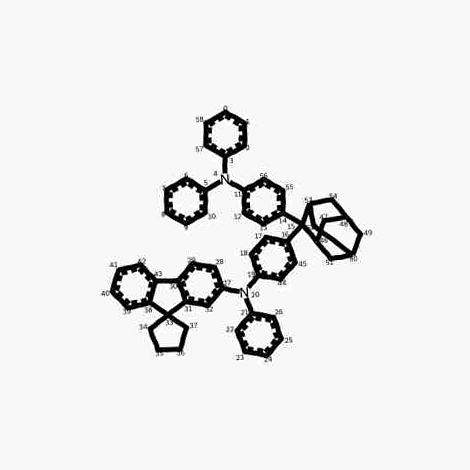 c1ccc(N(c2ccccc2)c2ccc(C3(c4ccc(N(c5ccccc5)c5ccc6c(c5)C5(CCCC5)c5ccccc5-6)cc4)C4CC5CC(C4)CC3C5)cc2)cc1